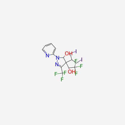 OC1N(c2ccccn2)N=C(C(F)(F)F)C1(C(CI)CI)C(O)C(F)(F)F